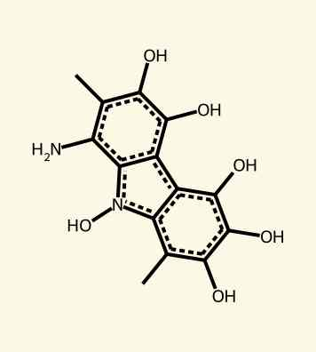 Cc1c(O)c(O)c2c3c(O)c(O)c(O)c(C)c3n(O)c2c1N